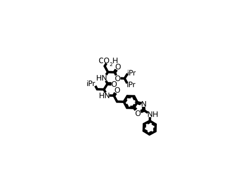 CC(C)CC(NC(=O)Cc1ccc2nc(Nc3ccccc3)oc2c1)C(=O)NC(CC(=O)O)C(=O)OC(C(C)C)C(C)C